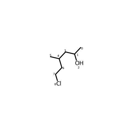 CC(O)CC(C)CCCl